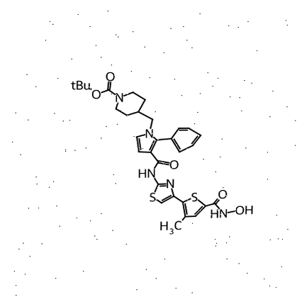 Cc1cc(C(=O)NO)sc1-c1csc(NC(=O)c2ccn(CC3CCN(C(=O)OC(C)(C)C)CC3)c2-c2ccccc2)n1